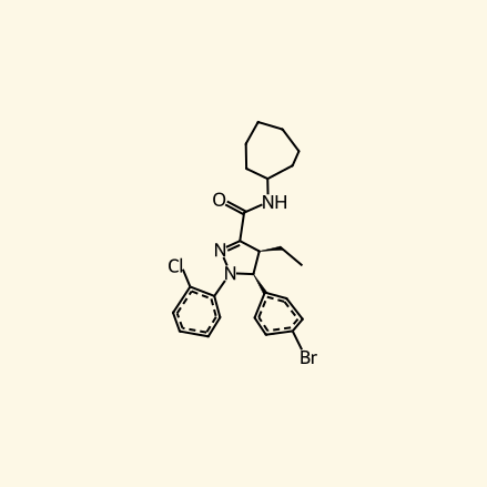 CC[C@@H]1C(C(=O)NC2CCCCCC2)=NN(c2ccccc2Cl)[C@@H]1c1ccc(Br)cc1